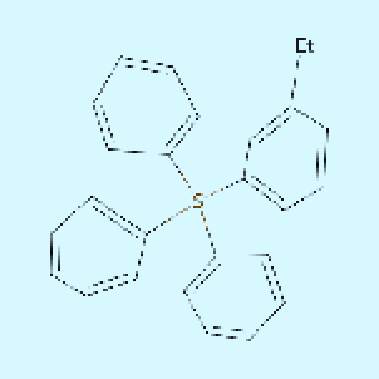 CCc1cccc(S(c2ccccc2)(c2ccccc2)c2ccccc2)c1